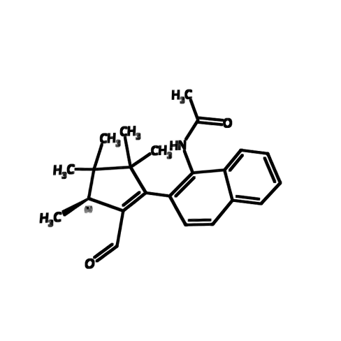 CC(=O)Nc1c(C2=C(C=O)[C@@H](C)C(C)(C)C2(C)C)ccc2ccccc12